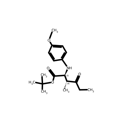 CCC(=O)[C@H](C)[C@H](Nc1ccc(OC)cc1)C(=O)OC(C)(C)C